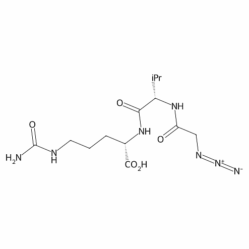 CC(C)[C@H](NC(=O)CN=[N+]=[N-])C(=O)N[C@@H](CCCNC(N)=O)C(=O)O